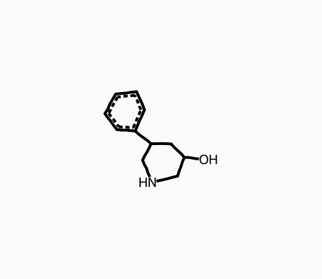 OC1CNCC(c2ccccc2)C1